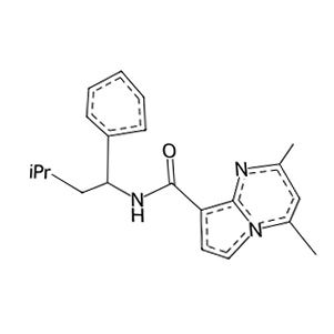 Cc1cc(C)n2ccc(C(=O)NC(CC(C)C)c3ccccc3)c2n1